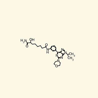 CC(C)n1cnc2c(-c3cccc(NC(=O)CCCCCC(O)C(N)=O)c3)nc(N3CCOCC3)nc21